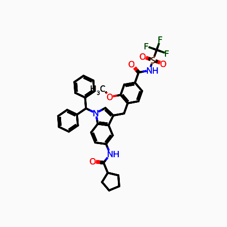 COc1cc(C(=O)NS(=O)(=O)C(F)(F)F)ccc1Cc1cn(C(c2ccccc2)c2ccccc2)c2ccc(NC(=O)C3CCCC3)cc12